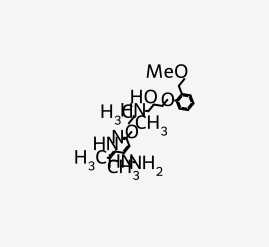 COCCc1ccccc1OCC(O)CNC(C)(C)COC1=NNC(=C(C)C)C(NN)=C1